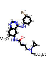 CCOC(=O)CN(C/C=C/C(=O)Nc1cc2c(Nc3cccc(Br)c3)ncnc2cc1OC)C1CC1